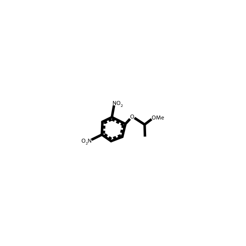 COC(C)Oc1ccc([N+](=O)[O-])cc1[N+](=O)[O-]